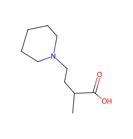 CC(CCN1CCCCC1)C(=O)O